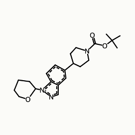 CC(C)(C)OC(=O)N1CCC(c2ccc3c(cnn3C3CCCCO3)c2)CC1